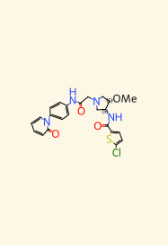 CO[C@H]1CN(CC(=O)Nc2ccc(-n3ccccc3=O)cc2)C[C@@H]1NC(=O)c1ccc(Cl)s1